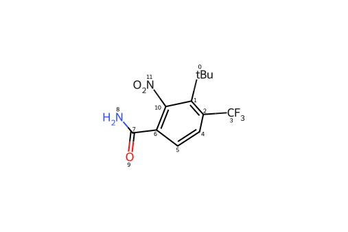 CC(C)(C)c1c(C(F)(F)F)ccc(C(N)=O)c1[N+](=O)[O-]